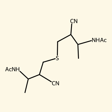 CC(=O)NC(C)C(C#N)CSCC(C#N)C(C)NC(C)=O